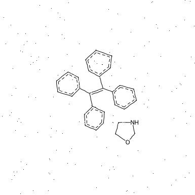 C1COCN1.c1ccc(C(=C(c2ccccc2)c2ccccc2)c2ccccc2)cc1